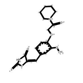 COc1cc(/C=C2/SC(=S)NC2=O)ccc1OCC(=O)N1CCCCC1